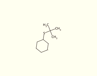 CC(C)(C)SC1C[CH]CCC1